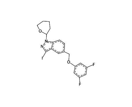 Fc1cc(F)cc(OCc2ccc3c(c2)c(I)nn3C2CCCCO2)c1